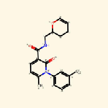 Cc1ccc(C(=O)NCC2CCC=CO2)c(=O)n1-c1cccc(C(F)(F)F)c1